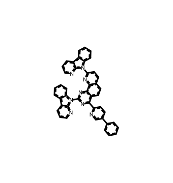 c1ccc(-c2ccc(-c3nc(-n4c5ccccc5c5cccnc54)nc4c3ccc3ccc(-n5c6ccccc6c6cccnc65)nc34)nc2)cc1